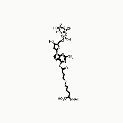 CC(=O)NC(CCCSSCCCC(=O)Oc1nc(N)nc2c1ncn2C1CC(O)C(COP(=O)(O)OP(=O)(O)OP(=O)(O)O)O1)C(=O)O